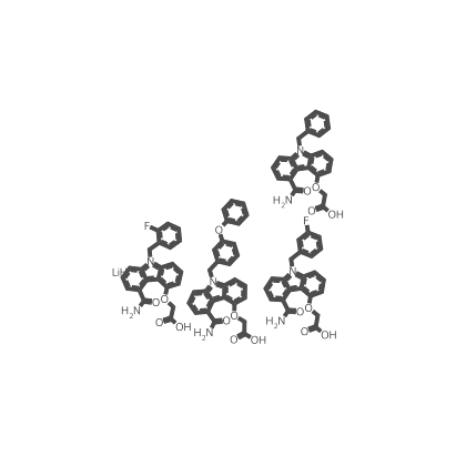 NC(=O)c1cccc2c1c1c(OCC(=O)O)cccc1n2Cc1cccc(F)c1.NC(=O)c1cccc2c1c1c(OCC(=O)O)cccc1n2Cc1cccc(Oc2ccccc2)c1.NC(=O)c1cccc2c1c1c(OCC(=O)O)cccc1n2Cc1ccccc1.NC(=O)c1cccc2c1c1c(OCC(=O)O)cccc1n2Cc1ccccc1F.[LiH]